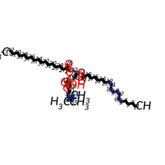 CCCCC\C=C/C=C\C=C/C=C\CCCCCCC(=O)O[C@H](COC(=O)CCCCCCCCCCCCCCCCC)COP(=O)(O)OCC[N+](C)(C)C